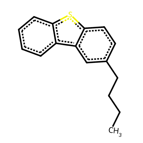 CCCCc1ccc2sc3ccccc3c2c1